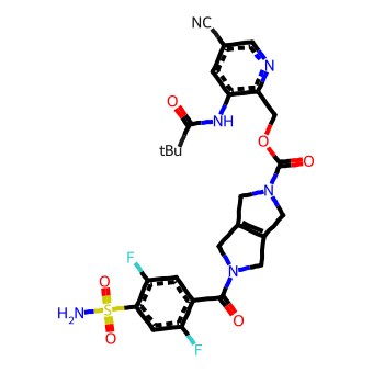 CC(C)(C)C(=O)Nc1cc(C#N)cnc1COC(=O)N1CC2=C(C1)CN(C(=O)c1cc(F)c(S(N)(=O)=O)cc1F)C2